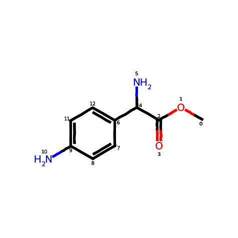 COC(=O)C(N)c1ccc(N)cc1